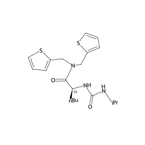 CCCC[C@H](NC(=O)NC(C)C)C(=O)N(Cc1cccs1)Cc1cccs1